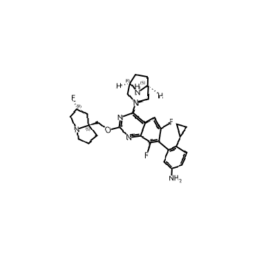 Nc1ccc(C2CC2)c(-c2c(F)cc3c(N4C[C@H]5CC[C@@H](C4)N5)nc(OC[C@@]45CCCN4C[C@H](F)C5)nc3c2F)c1